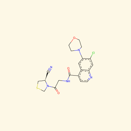 N#C[C@@H]1CSCN1C(=O)CNC(=O)c1ccnc2cc(Cl)c(N3CCOCC3)cc12